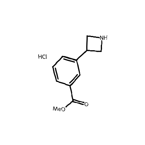 COC(=O)c1cccc(C2CNC2)c1.Cl